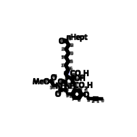 CC#CCOc1ccc(C[C@H](NC(=O)[C@@H](/C=C/CCCCCCC(=O)CCCCCCC)[C@@](O)(CC(=O)O)C(=O)O)C(=O)NCC(=O)OC)cc1